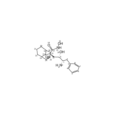 N[C@@H](Cc1ccccc1)[C@@H](O)C[C@H](C(=O)NO)C1(O)C2CCCC1CCC2